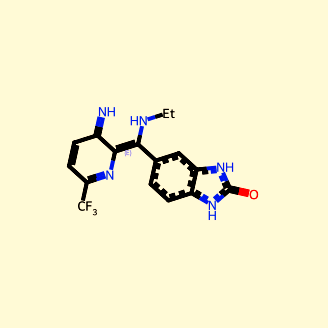 CCN/C(=C1/N=C(C(F)(F)F)C=CC1=N)c1ccc2[nH]c(=O)[nH]c2c1